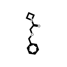 O=C(COCc1ccccc1)N1CCC1